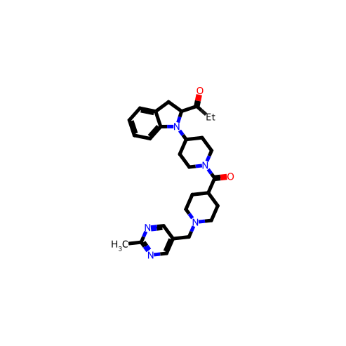 CCC(=O)C1Cc2ccccc2N1C1CCN(C(=O)C2CCN(Cc3cnc(C)nc3)CC2)CC1